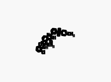 CN1CCN(S(=O)(=O)c2cccc(-c3nc4c(c(=O)[nH]3)C3C(C=C4)N=C(Nc4c(Cl)cccc4Cl)N3C)c2)CC1